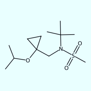 CC(C)OC1(CN(C(C)(C)C)S(C)(=O)=O)CC1